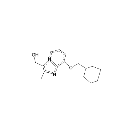 Cc1nc2c(OCC3CCCCC3)cccn2c1CO